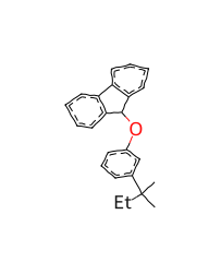 CCC(C)(C)c1cccc(OC2c3ccccc3-c3ccccc32)c1